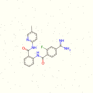 Cc1ccc(NC(=O)c2ccccc2NC(=O)c2ccc(C(=N)N)cc2F)nc1